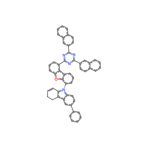 C1=Cc2c(c3cc(-c4ccccc4)ccc3n2-c2cccc3c2oc2cccc(-c4nc(-c5ccc6ccccc6c5)nc(-c5ccc6ccccc6c5)n4)c23)CC1